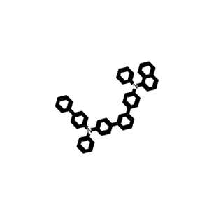 c1ccc(-c2ccc(N(c3ccccc3)c3ccc(-c4cccc(-c5ccc(N(c6ccccc6)c6cccc7ccccc67)cc5)c4)cc3)cc2)cc1